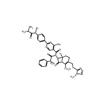 CC(=O)N(C(=O)C(C)N)c1ccc(-c2ncc(C(=O)N(C(=O)C(N)c3ccccc3)C3C(=O)N4C(C(=O)O)=C(CSc5nnnn5C)CS[C@@H]34)c(O)n2)cc1